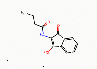 CCCC(=O)NC1=C(O)c2ccccc2C1=O